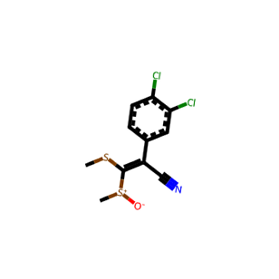 CS/C(=C(/C#N)c1ccc(Cl)c(Cl)c1)[S+](C)[O-]